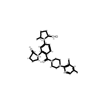 Cc1cnc(N2CCN(C(=O)c3ccc(N4C(C)CCC4C=O)cc3N3CCCC3=O)CC2)c(C)c1